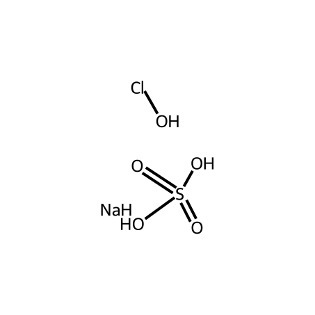 O=S(=O)(O)O.OCl.[NaH]